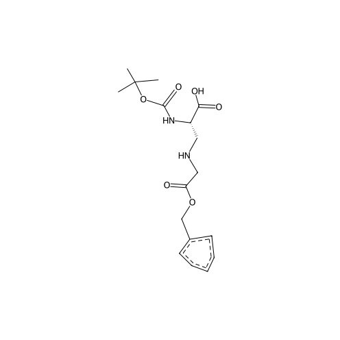 CC(C)(C)OC(=O)N[C@@H](CNCC(=O)OCc1ccccc1)C(=O)O